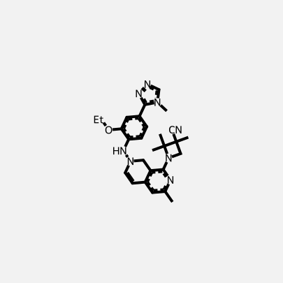 CCOc1cc(-c2nncn2C)ccc1NN1C=Cc2cc(C)nc(N3CC(C)(C#N)C3(C)C)c2C1